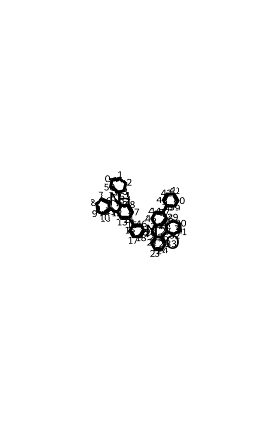 C1=CCCC(N2c3ccccc3C3C=C(c4cccc(N(c5cccc6c5C5CCC=CC5O6)C5C=CC(c6ccccc6)=CC5)c4)C=C[C@@H]32)=C1